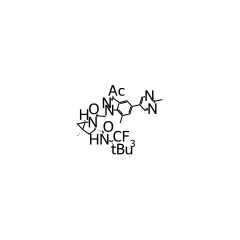 CC(=O)c1nn(CC(=O)N2[C@H](C(=O)N[C@@H](C(C)(C)C)C(F)(F)F)C[C@@]3(C)C[C@@H]23)c2c(C)cc(-c3cnc(C)nc3)cc12